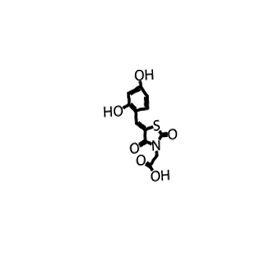 O=C(O)CN1C(=O)S/C(=C\c2ccc(O)cc2O)C1=O